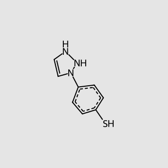 Sc1ccc(N2C=CNN2)cc1